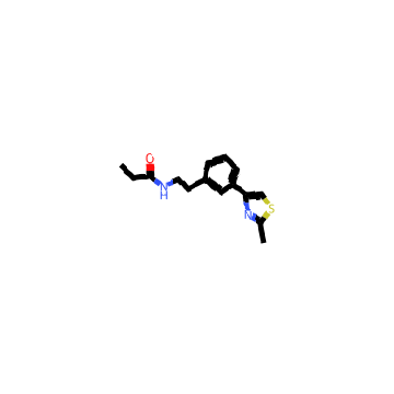 CCC(=O)NCCc1cccc(-c2csc(C)n2)c1